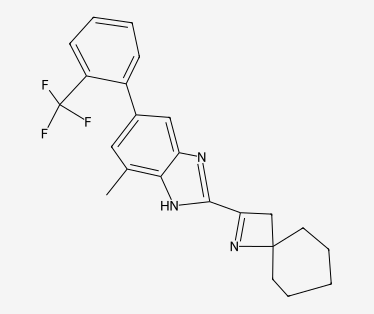 Cc1cc(-c2ccccc2C(F)(F)F)cc2nc(C3=NC4(CCCCC4)C3)[nH]c12